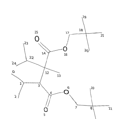 CC(C)C(C(=O)OCC(C)(C)C)C(C)(C(=O)OCC(C)(C)C)C(C)C